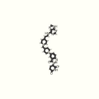 O=C1CCC(n2nnc3ccc(N4CCC(CN5CCC(CCNc6ncnc7[nH]cnc67)CC5)CC4)cc3c2=O)C(=O)N1